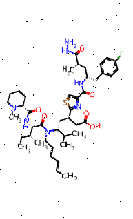 CCCCCCN(C(=O)[C@@H](NC(=O)[C@H]1CCCCN1C)[C@H](C)CC)[C@H](C[C@H](CC(=O)O)c1nc(C(=O)N[C@@H](Cc2ccc(F)cc2)C[C@H](C)C(=O)NN)cs1)C(C)C